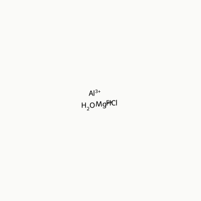 Cl.O.[Al+3].[Mg+2]